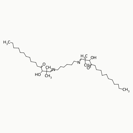 CCCCCCCCCCCC(=O)C(O)C(C)(C)C=NCCCCCCN=CC(C)(C)C(O)C(=O)CCCCCCCCCCC